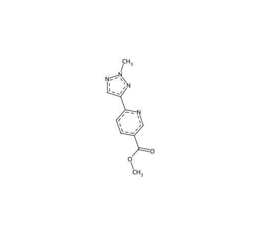 COC(=O)c1ccc(-c2cnn(C)n2)nc1